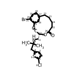 CC(C)(Cc1ccc(Cl)s1)NC[C@@H]1COc2cc(ccc2Br)CCCCC(=O)O1